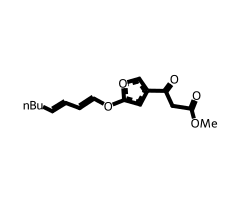 CCCCC=CC=COc1cc(C(=O)CC(=O)OC)co1